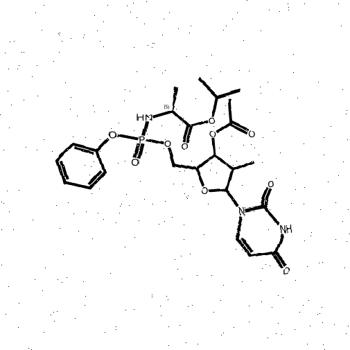 CC(=O)OC1C(COP(=O)(N[C@@H](C)C(=O)OC(C)C)Oc2ccccc2)OC(n2ccc(=O)[nH]c2=O)C1C